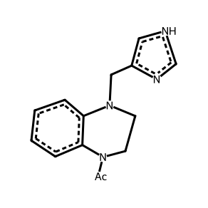 CC(=O)N1CCN(Cc2c[nH]cn2)c2ccccc21